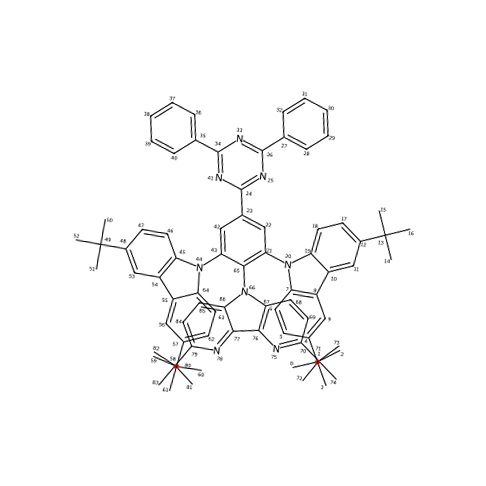 CC(C)(C)c1ccc2c(c1)c1cc(C(C)(C)C)ccc1n2-c1cc(-c2nc(-c3ccccc3)nc(-c3ccccc3)n2)cc(-n2c3ccc(C(C)(C)C)cc3c3cc(C(C)(C)C)ccc32)c1-n1c2ccc(C(C)(C)C)nc2c2nc(C(C)(C)C)ccc21